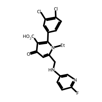 CCn1c(CNc2ccc(F)nc2)cc(=O)c(C(=O)O)c1-c1ccc(Cl)c(Cl)c1